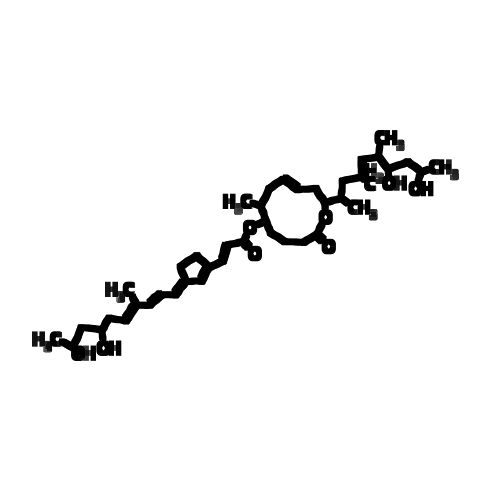 CC(/C=C/C=C1C=C(/C=C/C(=O)OC2CCCC(=O)OC(C(C)C/C(C)=C/C(C)C(O)CC(C)O)C/C=C/CC2C)CC/1)=C\CC(O)CC(C)O